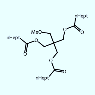 CCCCCCCC(=O)OCC(COC)(COC(=O)CCCCCCC)COC(=O)CCCCCCC